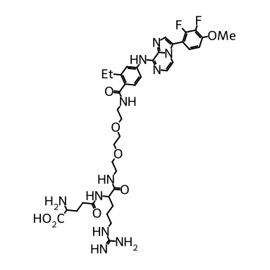 CCc1cc(Nc2nccn3c(-c4ccc(OC)c(F)c4F)cnc23)ccc1C(=O)NCCOCCOCCNC(=O)C(CCCNC(=N)N)NC(=O)CCC(N)C(=O)O